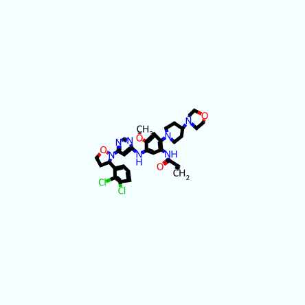 C=CC(=O)Nc1cc(Nc2cc(N3OCCC3c3cccc(Cl)c3Cl)ncn2)c(OC)cc1N1CCC(N2CCOCC2)CC1